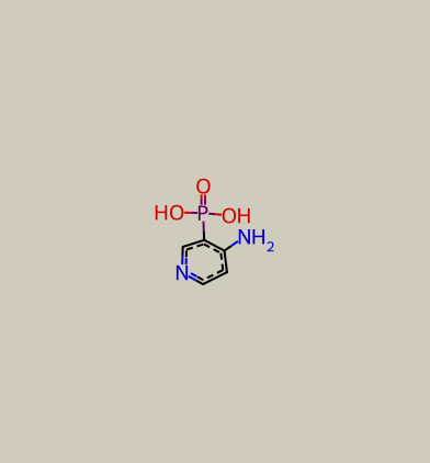 Nc1ccncc1P(=O)(O)O